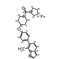 Cc1c(-c2ccc(OC3CCN(C(=O)N4CC[C@H](F)C4)CC3)cc2)ccc2ccnn12